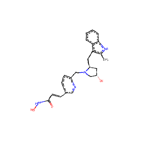 Cc1[nH]c2ccccc2c1C[C@H]1C[C@H](O)CN1Cc1ccc(C=CC(=O)NO)cn1